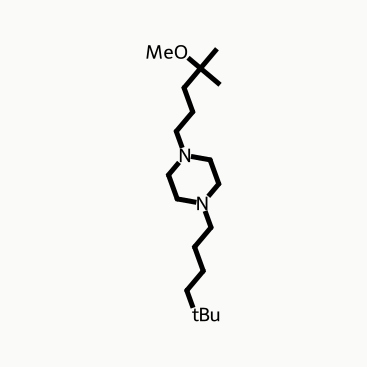 COC(C)(C)CCCN1CCN(CCCCC(C)(C)C)CC1